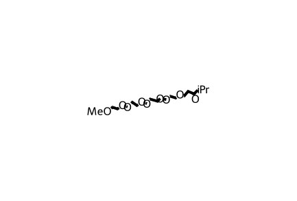 COCCOOCCOOCCOOCCOCCC(=O)C(C)C